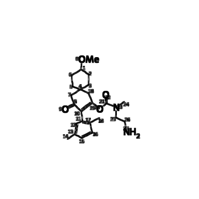 COC1CCC2(CC1)CC(=O)C(c1cc(C)ccc1C)=C(OC(=O)N(C)CCN)C2